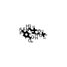 COC(=O)c1ccc(C(F)(F)F)c(N[C@@H](C)[C@H]2C[C@@H](NC(=O)OC(C)(C)C)C2(C)C)c1